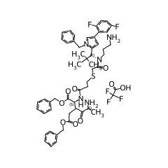 C[C@H](N)C(=O)C(CC(=O)OCc1ccccc1)[C@H](NC(=O)CCSCC(=O)N(CCCN)[C@@H](c1cc(-c2cc(F)ccc2F)cn1Cc1ccccc1)C(C)(C)C)C(=O)OCc1ccccc1.O=C(O)C(F)(F)F